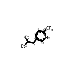 CCC(CC)Cc1ccc(C(F)(F)F)nc1